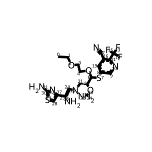 CCOCCOC(Sc1cnc(C(F)(F)F)c(C#N)c1)[C@H](CN(N)/C=C(\N)c1csc(N)n1)OC